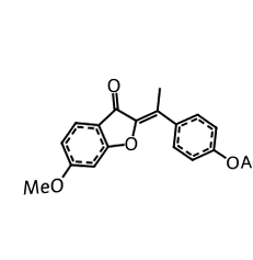 COc1ccc2c(c1)O/C(=C(/C)c1ccc(OC(C)=O)cc1)C2=O